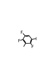 Cc1c(F)c(F)cc(I)c1F